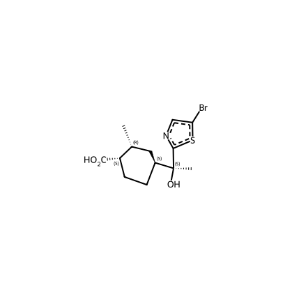 C[C@@H]1C[C@@H]([C@](C)(O)c2ncc(Br)s2)CC[C@@H]1C(=O)O